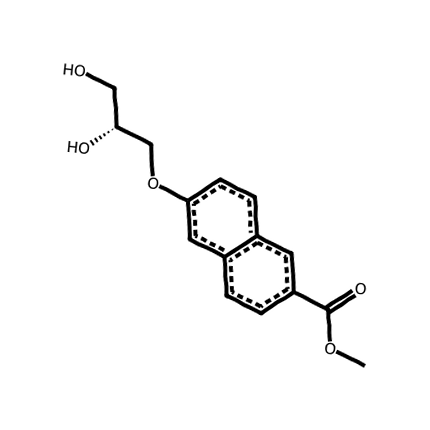 COC(=O)c1ccc2cc(OC[C@H](O)CO)ccc2c1